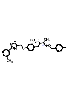 C/C(=N\OCc1ccc(F)cc1)C(Cc1ccc(OCc2nc(-c3cccc(C)c3)no2)cc1)C(=O)O